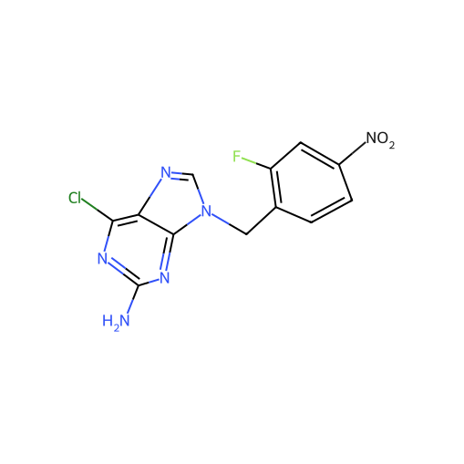 Nc1nc(Cl)c2ncn(Cc3ccc([N+](=O)[O-])cc3F)c2n1